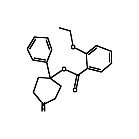 CCOc1ccccc1C(=O)OC1(c2ccccc2)CCNCC1